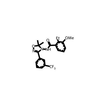 CCc1c(OC)cccc1C(=O)NN1C(c2cccc(C(F)(F)F)c2)=NOC1(C)C